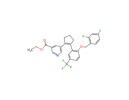 CCOC(=O)c1cncc(C2=C(c3cc(C(F)(F)F)ccc3OCc3ccc(F)cc3F)CCC2)c1